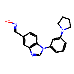 ON=Cc1ccc2c(c1)ncn2-c1cccc(N2CCCC2)c1